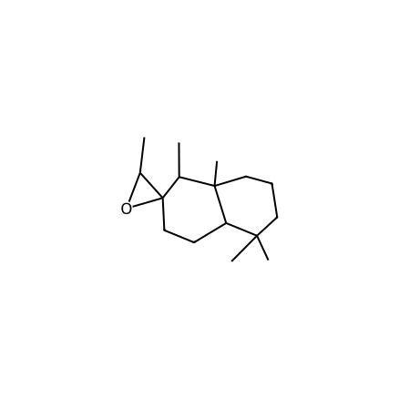 CC1OC12CCC1C(C)(C)CCCC1(C)C2C